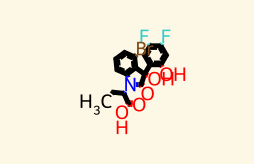 CCC(C(=O)O)N1C(=O)C(O)(c2cc(F)c(F)cc2O)c2c(Br)cccc21